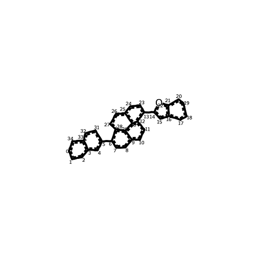 c1ccc2cc(-c3ccc4ccc5c(-c6cc7ccccc7o6)ccc6ccc3c4c65)ccc2c1